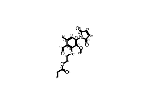 CCC(=O)OCCSc1c(C=O)c(C)cc(N2C(=O)C=CC2=O)c1OC